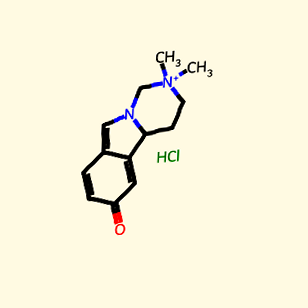 C[N+]1(C)CCC2C3=CC(=O)C=CC3=CN2C1.Cl